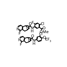 COC(=O)c1cc(NC(=O)N2C3CCC2c2ccnc(F)c2C3)c(F)cc1Cl.O=C(Nc1ccc(OC(F)(F)F)c(Cl)c1)N1C2CCC1c1ccnc(F)c1C2